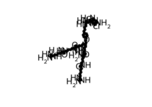 N=C(N)NCCCCCC(=O)NCCCC[C@H](N)C(=O)NCCCN(CCCNC(=O)[C@@H](N)CCCCNC(=O)[C@@H](N)CCCCNC(=N)N)CCOc1ccc(CCCCNC(=N)NC(=O)c2nc(Cl)c(N)nc2N)cc1